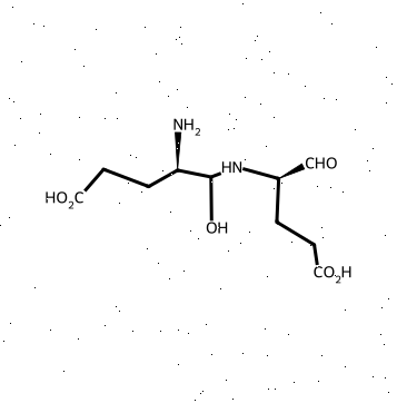 N[C@H](CCC(=O)O)C(O)N[C@@H](C=O)CCC(=O)O